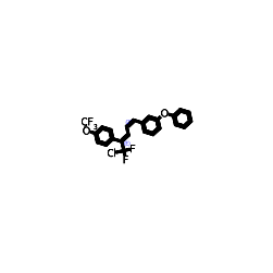 FC(F)(F)Oc1ccc(/C(=C\C=C/c2cccc(Oc3ccccc3)c2)C(F)(F)Cl)cc1